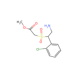 COC(=O)CS(=O)(=O)C(CN)c1ccccc1Cl